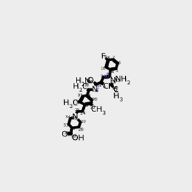 C=C(/C=C(/c1cccc(F)c1)N(N)CC)/C(=N/C(=C)c1cc(C)c(CCN2CCC(C(=O)O)CC2)c(C)c1)ON